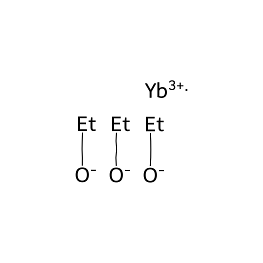 CC[O-].CC[O-].CC[O-].[Yb+3]